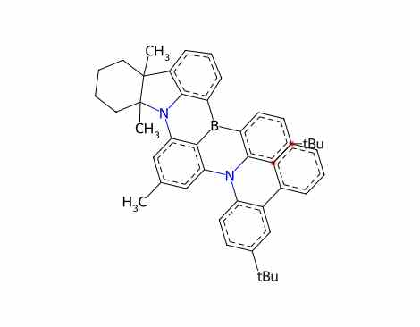 Cc1cc2c3c(c1)N1c4c(cccc4C4(C)CCCCC14C)B3c1ccc(C(C)(C)C)cc1N2c1ccc(C(C)(C)C)cc1-c1ccccc1